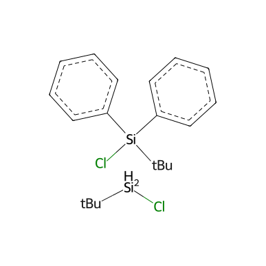 CC(C)(C)[SiH2]Cl.CC(C)(C)[Si](Cl)(c1ccccc1)c1ccccc1